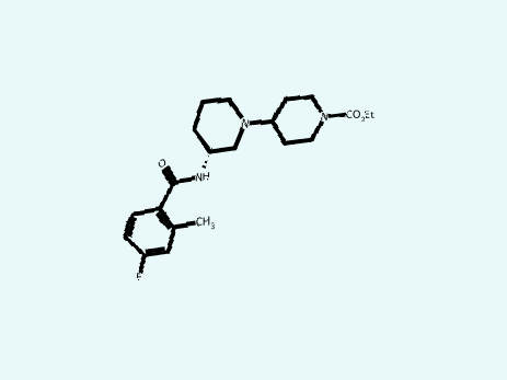 CCOC(=O)N1CCC(N2CCC[C@@H](NC(=O)c3ccc(F)cc3C)C2)CC1